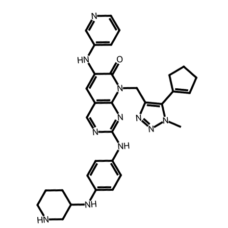 Cn1nnc(Cn2c(=O)c(Nc3cccnc3)cc3cnc(Nc4ccc(NC5CCCNC5)cc4)nc32)c1C1=CCCC1